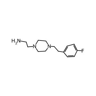 NCCN1CCN(CCc2ccc(F)cc2)CC1